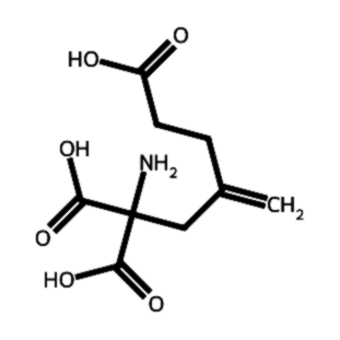 C=C(CCC(=O)O)CC(N)(C(=O)O)C(=O)O